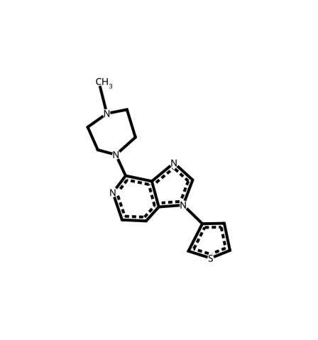 CN1CCN(c2nccc3c2ncn3-c2ccsc2)CC1